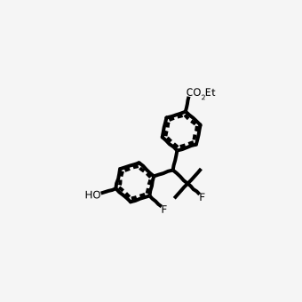 CCOC(=O)c1ccc(C(c2ccc(O)cc2F)C(C)(C)F)cc1